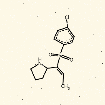 CC=C(C1CCCN1)S(=O)(=O)c1ccc(Cl)cc1